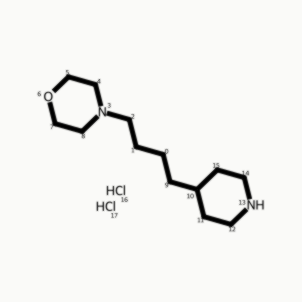 C(CCN1CCOCC1)CC1CCNCC1.Cl.Cl